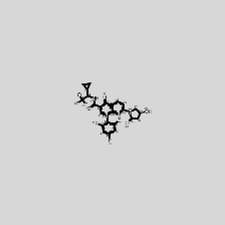 O=C(NC(C1CC1)C(F)(F)F)c1cn(-c2c(F)cc(F)cc2Cl)c2nc(N3C[C@@H](O)CC3=O)ccc2c1=O